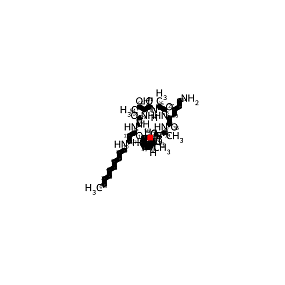 CCCCCCCCCCNCCC(=O)NNC(=O)N[C@H](C(=O)N[C@@H](C)C(=O)N[C@@H](CCCCN)C(=O)N[C@@H](C)B1O[C@@H]2C[C@@H]3C[C@@H](C3(C)C)[C@]2(C)O1)[C@@H](C)O